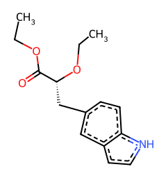 CCOC(=O)[C@@H](Cc1ccc2[nH]ccc2c1)OCC